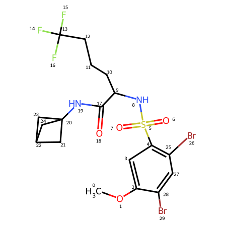 COc1cc(S(=O)(=O)NC(CCCC(F)(F)F)C(=O)NC23CC(C2)C3)c(Br)cc1Br